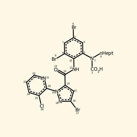 CCCCCCCN(C(=O)O)c1cc(Br)cc(Br)c1NC(=O)c1cc(Br)nn1-c1ncccc1Cl